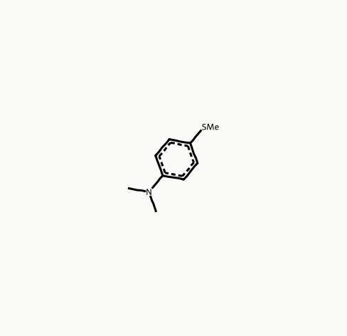 CSc1ccc(N(C)C)cc1